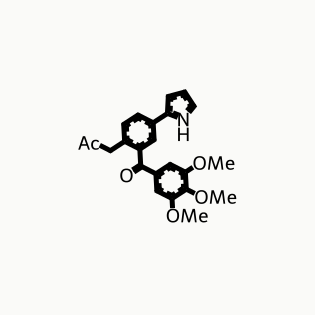 COc1cc(C(=O)c2cc(-c3ccc[nH]3)ccc2CC(C)=O)cc(OC)c1OC